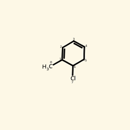 CC1=CC=C[CH]C1Cl